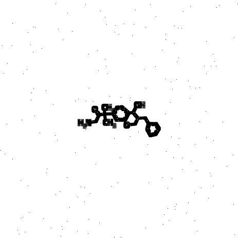 CC(C)(C(=O)CN)c1ccc2c(c1)OCC(Cc1ccccc1)C2O